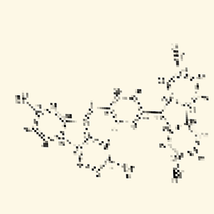 Brc1ccc2c(c1)C(=Cc1ccc(C3c4cc(Br)ccc4-c4ccc(Br)cc43)cc1)c1cc(Br)ccc1-2